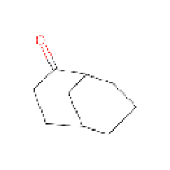 O=C1CCC2CCCC1C2